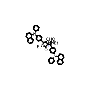 CCN/C(=C1/C(=O)N(CC)C(c2ccc(N(c3ccccc3)c3cccc4ccccc34)cc2)=C1C=O)c1ccc(N(c2ccccc2)c2cccc3ccccc23)cc1